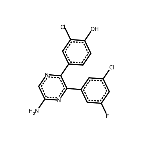 Nc1cnc(-c2ccc(O)c(Cl)c2)c(-c2cc(F)cc(Cl)c2)n1